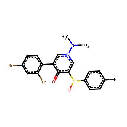 CCc1ccc([S+]([O-])c2cn(N(C)C)cc(-c3ccc(Br)cc3Br)c2=O)cc1